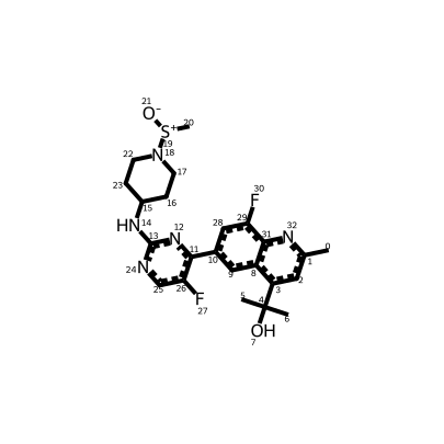 Cc1cc(C(C)(C)O)c2cc(-c3nc(NC4CCN([S+](C)[O-])CC4)ncc3F)cc(F)c2n1